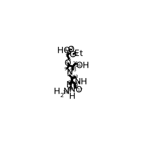 CCOP(=O)(O)CCOC1CN(Cc2c[nH]c3c(=O)[nH]c(N)nc23)CC1CO